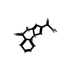 CC(=O)c1cc2[nH]c(=O)c3ccccc3n2c1